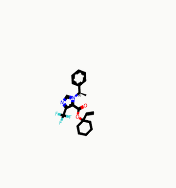 C=CC1(OC(=O)c2c(C(F)(F)F)ncn2[C@H](C)c2ccccc2)CCCCC1